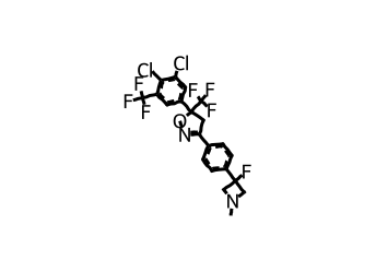 CN1CC(F)(c2ccc(C3=NOC(c4cc(Cl)c(Cl)c(C(F)(F)F)c4)(C(F)(F)F)C3)cc2)C1